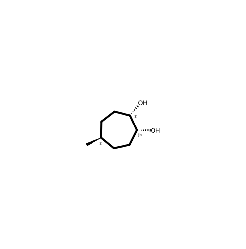 C[C@@H]1CC[C@@H](O)[C@@H](O)CC1